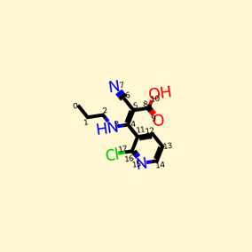 CCCNC(=C(C#N)C(=O)O)c1cccnc1Cl